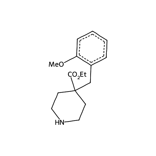 CCOC(=O)C1(Cc2ccccc2OC)CCNCC1